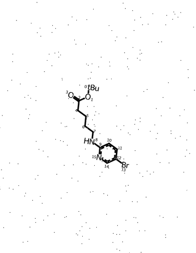 CC(C)(C)OC(=O)CCCCNc1ccc(Br)cn1